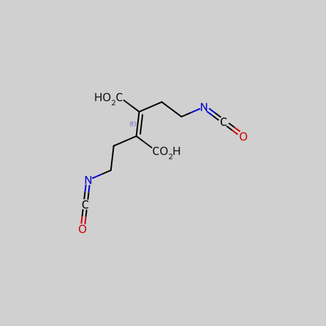 O=C=NCC/C(C(=O)O)=C(/CCN=C=O)C(=O)O